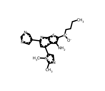 CCCC[S+]([O-])c1sc2nc(-c3cncnc3)cc(-c3cnc(C)n3C)c2c1N